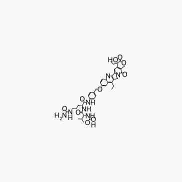 CCc1c2c(nc3ccc(OCc4ccc(NC(=O)[C@H](CCCNC(N)=O)NC(=O)[C@@H](NC(=O)O)C(C)C)cc4)cc13)-c1cc3c(c(=O)n1C2)COC(=O)[C@]3(O)CC